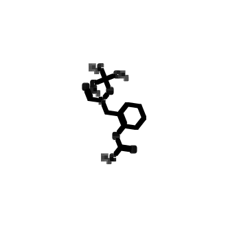 CC(=O)OC1=C(CN(C=O)OC(C)(C)C)CCCC1